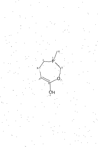 CP1CCC=C(O)OC1